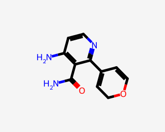 NC(=O)c1c(N)ccnc1C1=CCOC=C1